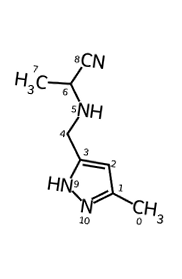 Cc1cc(CNC(C)C#N)[nH]n1